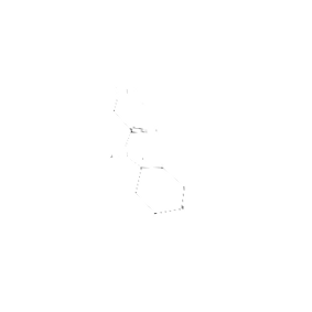 O=C(O)CC(=O)OC1CCCCC1